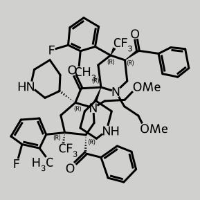 COCCN1C[C@H](C(=O)c2ccccc2)[C@](c2cccc(F)c2C)(C(F)(F)F)C[C@]1(C(=O)[C@]1(C2CCCNC2)C[C@@](c2cccc(F)c2C)(C(F)(F)F)[C@@H](C(=O)c2ccccc2)CN1CCOC)C1CCCNC1